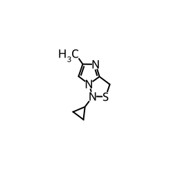 Cc1cn2c(n1)CSN2C1CC1